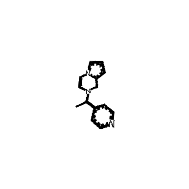 CC(c1ccncc1)N1C=Cn2cccc2C1